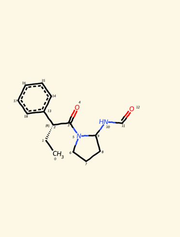 CC[C@@H](C(=O)N1CCCC1NC=O)c1ccccc1